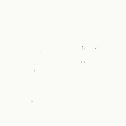 CNC(=O)c1c(-c2ccc(F)cc2)oc2cc3c(cc12)C(=O)C(C)(C)CCN3S(C)(=O)=O